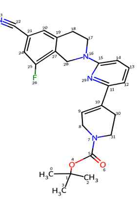 CC(C)(C)OC(=O)N1CC=C(c2cccc(N3CCc4cc(C#N)cc(F)c4C3)n2)CC1